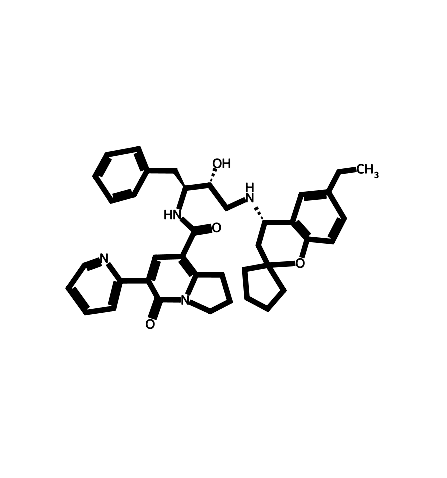 CCc1ccc2c(c1)[C@@H](NC[C@@H](O)[C@H](Cc1ccccc1)NC(=O)c1cc(-c3ccccn3)c(=O)n3c1CCC3)CC1(CCCC1)O2